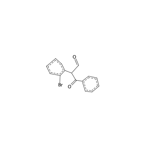 O=CC(C(=O)c1ccccc1)c1ccccc1Br